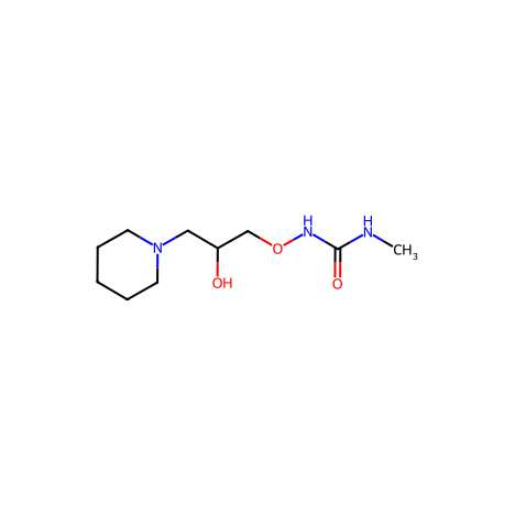 CNC(=O)NOCC(O)CN1CCCCC1